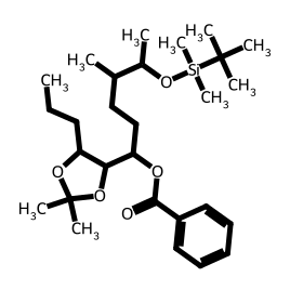 CCCC1OC(C)(C)OC1C(CCC(C)C(C)O[Si](C)(C)C(C)(C)C)OC(=O)c1ccccc1